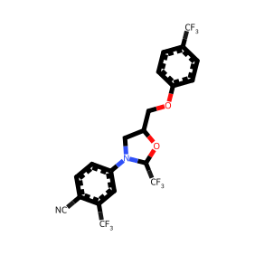 N#Cc1ccc(N2CC(COc3ccc(C(F)(F)F)cc3)OC2C(F)(F)F)cc1C(F)(F)F